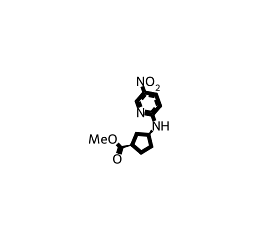 COC(=O)[C@@H]1CC[C@H](Nc2ccc([N+](=O)[O-])cn2)C1